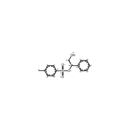 Cc1ccc(S(=O)(=O)O[C@@H](CO)c2ccccc2)cc1